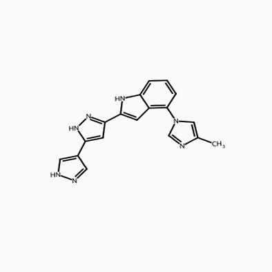 Cc1cn(-c2cccc3[nH]c(-c4cc(-c5cn[nH]c5)[nH]n4)cc23)cn1